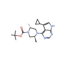 C[C@@H]1CN(c2ncnc3[nH]cc(C4CC4)c23)[C@@H](C)CN1C(=O)OC(C)(C)C